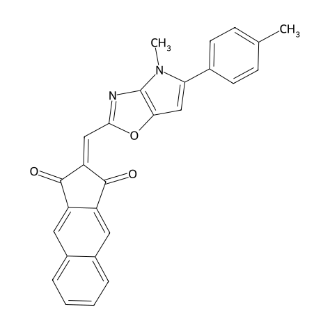 Cc1ccc(-c2cc3oc(C=C4C(=O)c5cc6ccccc6cc5C4=O)nc3n2C)cc1